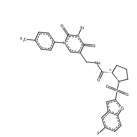 CCn1c(=O)c(CNC(=O)[C@@H]2CCCN2S(=O)(=O)c2cc3cc(F)ccc3o2)cn(-c2ccc(C(F)(F)F)cc2)c1=O